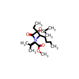 CCCCC1N(C(C(=O)OC)=C(C)C)C(=O)C1(CC)O[SiH](C)C